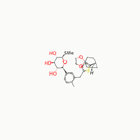 CS[C@H]1O[C@@H](c2ccc(C)c(Cc3ccc([C@]45CCC6(C[C@H]4C5)OCCO6)s3)c2)[C@H](O)[C@@H](O)[C@@H]1O